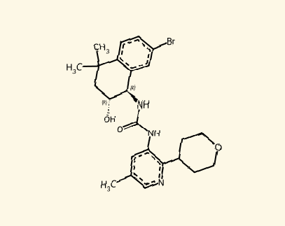 Cc1cnc(C2CCOCC2)c(NC(=O)N[C@@H]2c3cc(Br)ccc3C(C)(C)C[C@H]2O)c1